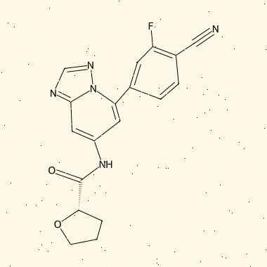 N#Cc1ccc(-c2cc(NC(=O)[C@@H]3CCCO3)cc3ncnn23)cc1F